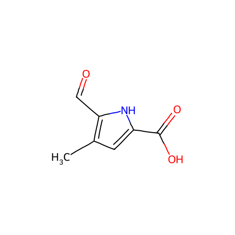 Cc1cc(C(=O)O)[nH]c1C=O